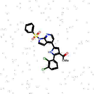 COC(=O)c1cc(-c2ccnc3c2ccn3S(=O)(=O)c2ccccc2)[nH]c1-c1cccc(Cl)c1Cl